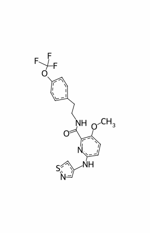 COc1ccc(Nc2cnsc2)nc1C(=O)NCCc1ccc(OC(F)(F)F)cc1